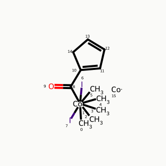 [CH3][Co]([CH3])([CH3])([CH3])([CH3])([I])([I])[C](=O)C1=CC=CC1.[Co]